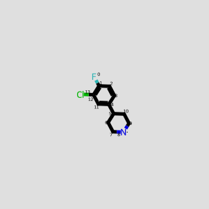 Fc1ccc(C2CC[N]CC2)cc1Cl